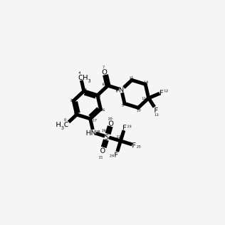 Cc1cc(C)c(C(=O)N2CCC(F)(F)CC2)cc1NS(=O)(=O)C(F)(F)F